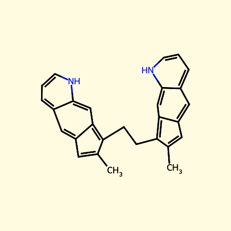 Cc1cc2cc3ccc[nH]c3cc2c1CCc1c(C)cc2cc3ccc[nH]c3cc12